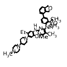 CCc1cc(Nc2ncc(C)c(Nc3ccc(-c4cccc5c4COC5)cc3P(C)(C)=O)n2)c(OC)cc1N1CCC(N2CCN(C)CC2)CC1